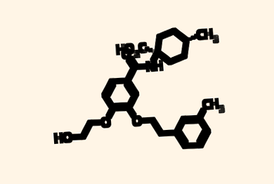 Cc1cccc(CCOc2cc(C(=O)N[C@]3(C(=O)O)CC[C@@H](C)CC3)ccc2OCCO)c1